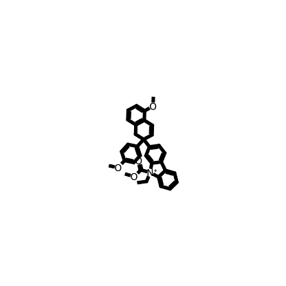 CC[N+]1(C(=O)OC)c2ccccc2-c2ccc(C3(c4ccc(OC)cc4)C=Cc4c(cccc4OC)C3)cc21